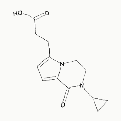 O=C(O)CCc1ccc2n1CCN(C1CC1)C2=O